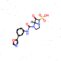 O=C1C(S(=O)(=O)O)N2CCN(C(=O)Nc3cccc(-c4cnco4)c3)[C@H]12